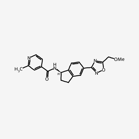 COCc1nc(-c2ccc3c(c2)CC[C@H]3NC(=O)c2ccnc(C)c2)no1